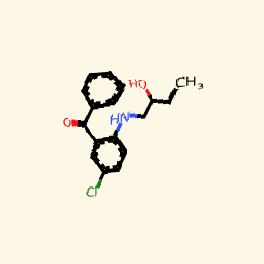 CCC(O)CNc1ccc(Cl)cc1C(=O)c1ccccc1